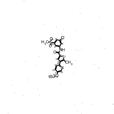 Cc1sc(C(=O)Nc2cc(Cl)cc(S(C)(=O)=O)c2)cc1-c1ccc(OC(C)(C)C)cn1